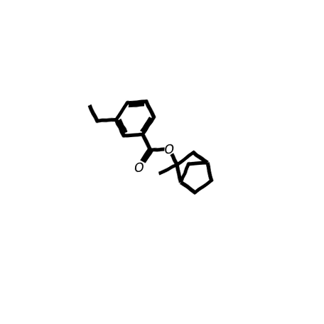 CCc1cccc(C(=O)OC2(C)CC3CCC2C3)c1